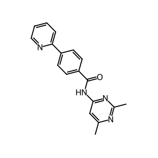 Cc1cc(NC(=O)c2ccc(-c3ccccn3)cc2)nc(C)n1